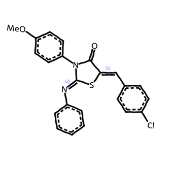 COc1ccc(N2C(=O)/C(=C/c3ccc(Cl)cc3)S/C2=N\c2ccccc2)cc1